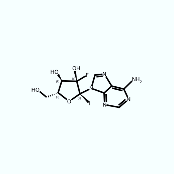 Nc1ncnc2c1ncn2[C@]1(I)O[C@H](CO)[C@@H](O)[C@]1(O)F